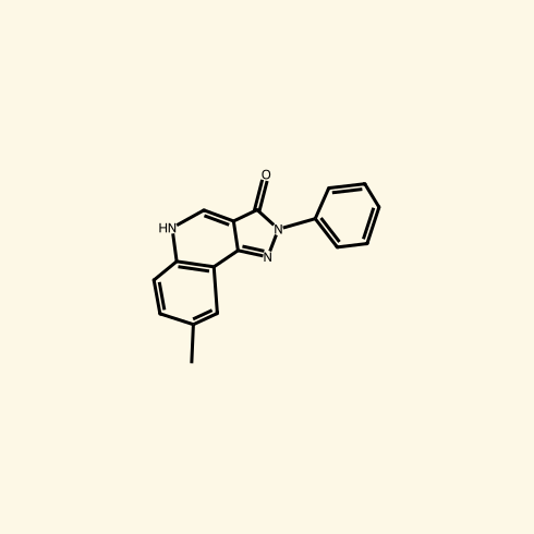 Cc1ccc2[nH]cc3c(=O)n(-c4ccccc4)nc-3c2c1